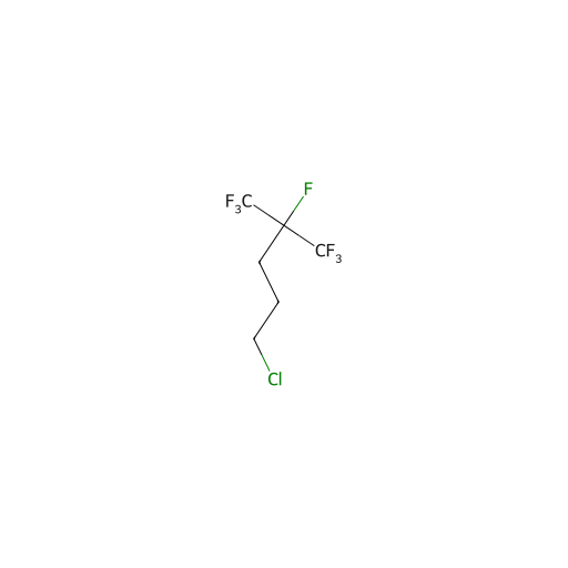 FC(F)(F)C(F)(CCCCl)C(F)(F)F